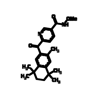 CONC(=O)c1ccc(C(=O)c2cc3c(cc2C)C(C)(C)CCC3(C)C)nc1